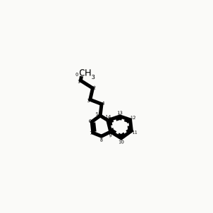 CCCCCC1C=CCc2ccccc21